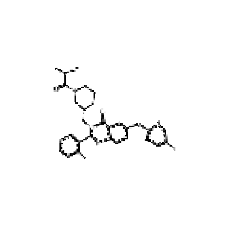 Cc1ccccc1-c1nc2ccc(Oc3ccc(F)cn3)cc2c(=O)n1C[C@H]1CCCN(C(=O)C(C)F)C1